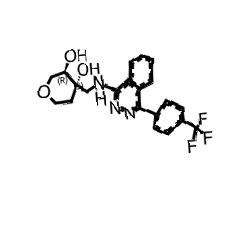 O[C@@H]1COCC[C@]1(O)CNc1nnc(-c2ccc(C(F)(F)F)cc2)c2ccccc12